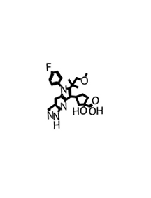 COCC(C)(C)c1c(C2CC[C@@](O)(C(=O)O)C2)c2nc3[nH]ncc3cc2n1-c1ccc(F)cc1